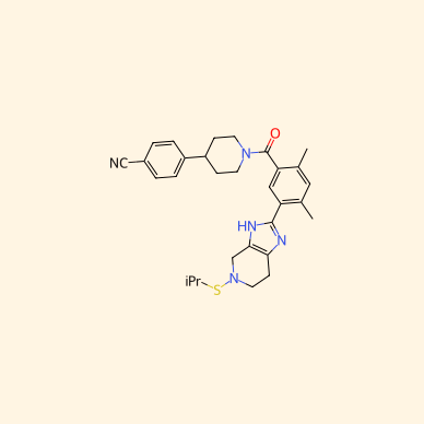 Cc1cc(C)c(-c2nc3c([nH]2)CN(SC(C)C)CC3)cc1C(=O)N1CCC(c2ccc(C#N)cc2)CC1